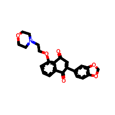 O=C1C(c2ccc3c(c2)OCO3)=CC(=O)c2c(OCCN3CCOCC3)cccc21